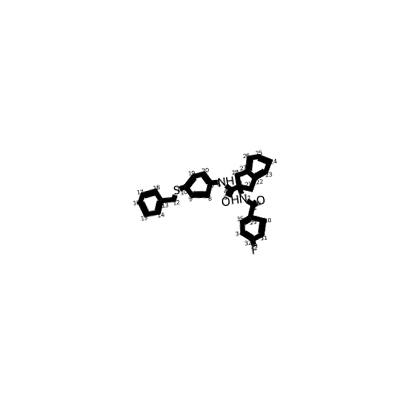 O=C(NC1(C(=O)Nc2ccc(SCc3ccccc3)cc2)Cc2ccccc2C1)c1ccc(F)cc1